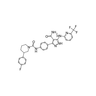 NC(=O)c1c(-c2ccc(NC(=O)N3CCCC(c4ccc(F)cc4)C3)cc2)n[nH]c1Nc1cccc(C(F)(F)F)n1